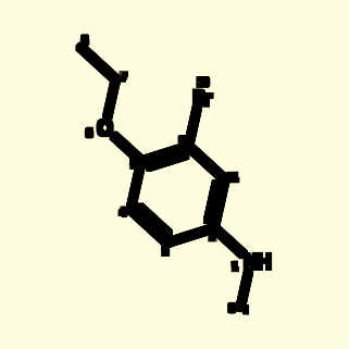 [CH]Nc1ccc(OCC)c(Br)c1